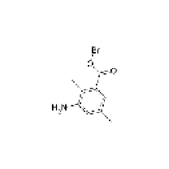 Cc1cc(N)c(C)c(C(=O)OBr)c1